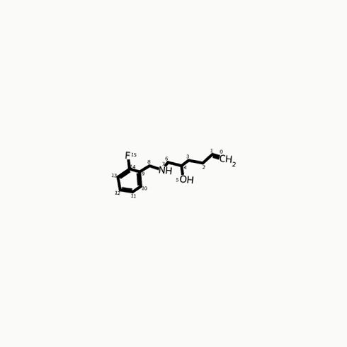 C=CCCC(O)CNCc1ccccc1F